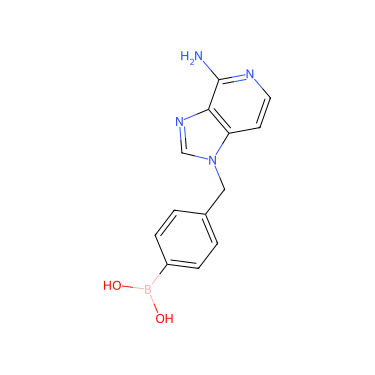 Nc1nccc2c1ncn2Cc1ccc(B(O)O)cc1